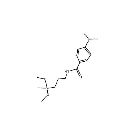 CO[Si](C)(CCCNC(=O)c1ccc(N(C)C)cc1)OC